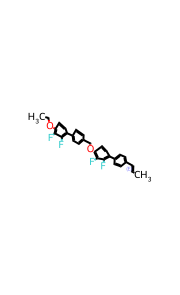 C/C=C/c1ccc(-c2ccc(OCc3ccc(-c4ccc(OCC)c(F)c4F)cc3)c(F)c2F)cc1